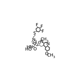 COc1ccc2ncc(N(C)C)c(CCCC3(C(=O)NO)CCN(CCSc4cc(F)c(F)c(F)c4)CC3)c2c1